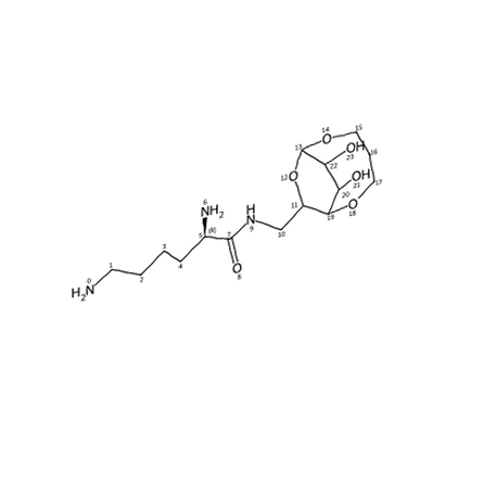 NCCCC[C@@H](N)C(=O)NCC1OC2OCCCOC1C(O)C2O